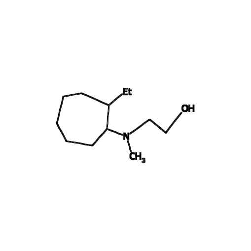 CCC1CCCCCC1N(C)CCO